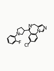 Fc1ccccc1N1CCC(C2=NCc3cncn3-c3ccc(Cl)cc32)C1